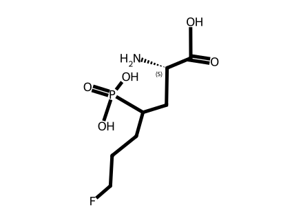 N[C@@H](CC(CCCF)P(=O)(O)O)C(=O)O